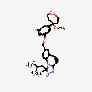 COC1(c2cc(F)cc(OCc3ccc4c(c3)C=CC3=NNC(C)(CC(C)C)N34)c2)CCOCC1